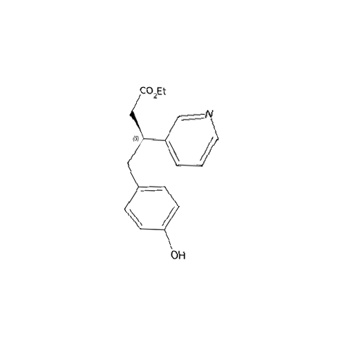 CCOC(=O)C[C@H](Cc1ccc(O)cc1)c1cccnc1